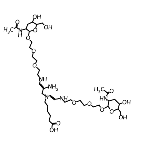 CC(=O)NC1CC(O)C(CO)OC1OCCOCCOCCN/C=C(\N)CN(/C=C/NCCOCCOCCOC1OC(CO)C(O)CC1NC(C)=O)CCCCCC(=O)O